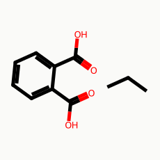 CCC.O=C(O)c1ccccc1C(=O)O